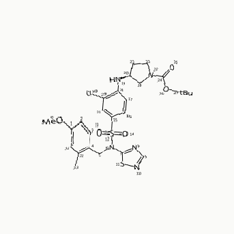 COc1ccc(CN(c2ncns2)S(=O)(=O)c2ccc(N[C@H]3CCN(C(=O)OC(C)(C)C)C3)c(Cl)c2)c(C)c1